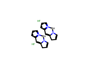 B1N2C=CCC2=Cc2cccn21.B1N2C=CCC2=Cc2cccn21.F.F